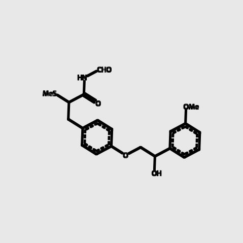 COc1cccc(C(O)COc2ccc(CC(SC)C(=O)NC=O)cc2)c1